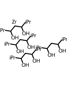 CC(C)C(O)CC(O)C(C)C.CC(C)C(O)CC(O)C(C)C.CC(C)C(O)CC(O)C(C)C.CC(C)C(O)CC(O)C(C)C.[Zr]